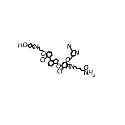 N#Cc1cncc(COc2cc(O[C@H]3CCc4c(-c5cccc(OCCCN6CC7(CC(O)C7)C6)c5Cl)cccc43)c(Cl)cc2CNCCCCC(N)=O)c1